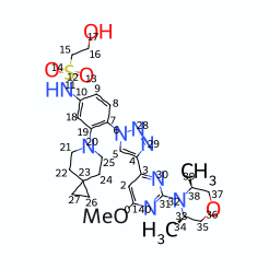 COc1cc(-c2cn(-c3ccc(NS(=O)(=O)CCO)cc3N3CCC4(CC3)CC4)nn2)nc(N2[C@H](C)COC[C@@H]2C)n1